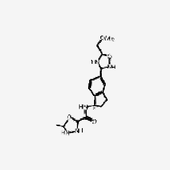 COCC1NC(c2ccc3c(c2)CC[C@H]3NC(=O)C2NNC(C)O2)NO1